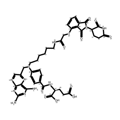 Nc1nc(N)c2nc(CN(CCCCCCNC(=O)COc3cccc4c3C(=O)N(C3CCC(=O)NC3=O)C4=O)c3ccc(C(=O)N[C@@H](CCC(=O)O)C(=O)O)cc3)cnc2n1